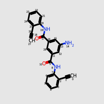 C#Cc1ccccc1NC(=O)c1cc(N)cc(C(=O)Nc2ccccc2C#C)c1